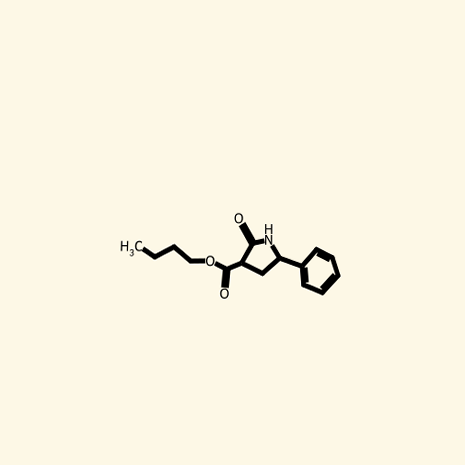 CCCCOC(=O)C1CC(c2ccccc2)NC1=O